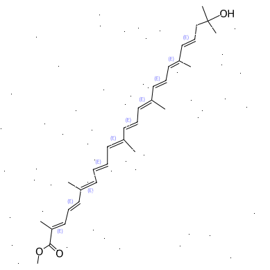 COC(=O)/C(C)=C/C=C/C(C)=C/C=C/C=C(C)/C=C/C=C(C)/C=C/C=C(C)/C=C/CC(C)(C)O